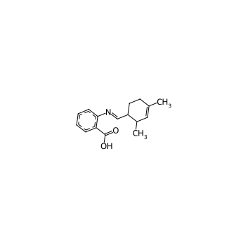 CC1=CC(C)C(C=Nc2ccccc2C(=O)O)CC1